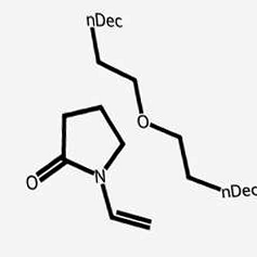 C=CN1CCCC1=O.CCCCCCCCCCCCOCCCCCCCCCCCC